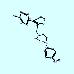 O=Cc1ccc(N2CCN(CC3=C(c4ccc(Cl)cc4)CCC3)CC2)cc1